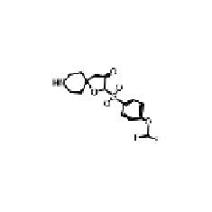 O=C1CC2(CCNCC2)OC1S(=O)(=O)c1ccc(OC(F)F)cc1